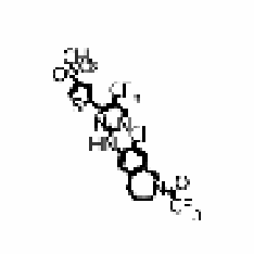 CS(=O)(=O)c1csc(-c2nc(Nc3cc4c(cc3Cl)CN(C(=O)C(F)(F)F)CCC4)ncc2C(F)(F)F)c1